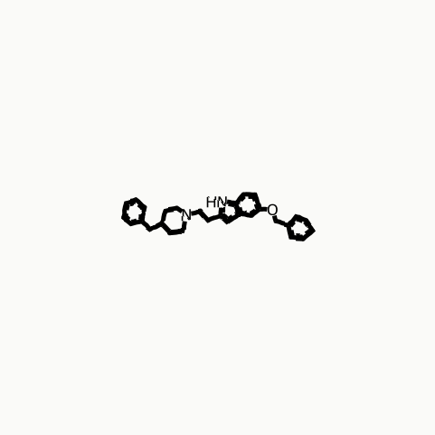 c1ccc(COc2ccc3[nH]c(CCN4CCC(Cc5ccccc5)CC4)cc3c2)cc1